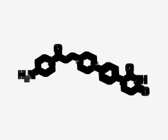 NC1CCN(C(=O)CCN2CCN(c3ccc(N4CCC(=O)NC4=O)cc3)CC2)CC1